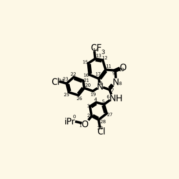 CC(C)Oc1ccc(Nc2nc(=O)c3cc(C(F)(F)F)ccc3n2Cc2ccc(Cl)cc2)cc1Cl